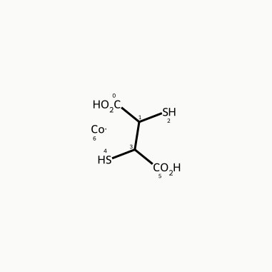 O=C(O)C(S)C(S)C(=O)O.[Co]